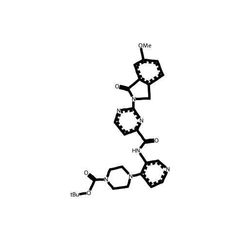 COc1ccc2c(c1)C(=O)N(c1nccc(C(=O)Nc3cnccc3N3CCN(C(=O)OC(C)(C)C)CC3)n1)C2